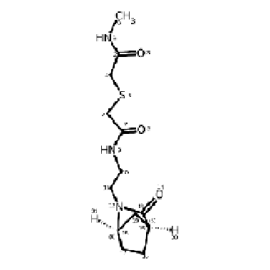 CNC(=O)CSCC(=O)NCCN1C(=O)[C@H]2CC[C@@H]1C2